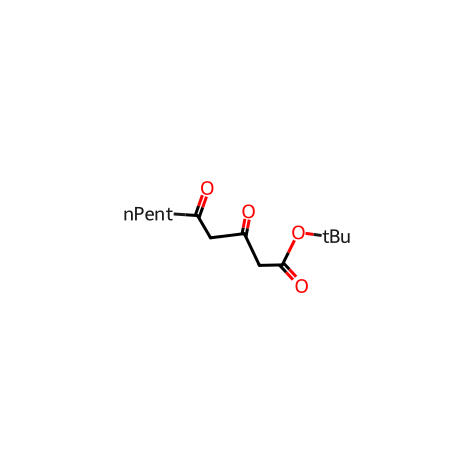 CCCCCC(=O)CC(=O)CC(=O)OC(C)(C)C